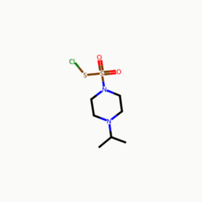 CC(C)N1CCN(S(=O)(=O)SCl)CC1